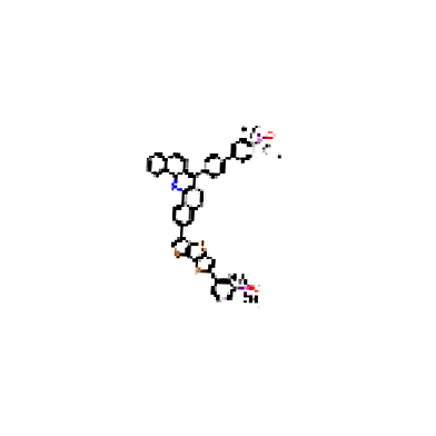 CP(C)(=O)c1ccc(-c2ccc(-c3c4ccc5ccccc5c4nc4c3ccc3cc(-c5csc6c5sc5cc(-c7cccc(P(C)(C)=O)c7)sc56)ccc34)cc2)cc1